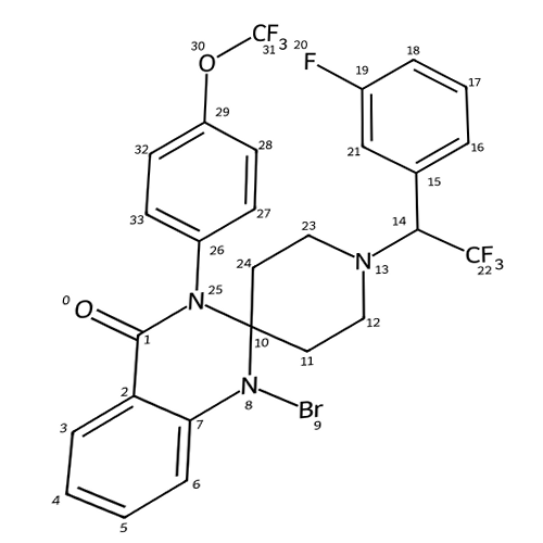 O=C1c2ccccc2N(Br)C2(CCN(C(c3cccc(F)c3)C(F)(F)F)CC2)N1c1ccc(OC(F)(F)F)cc1